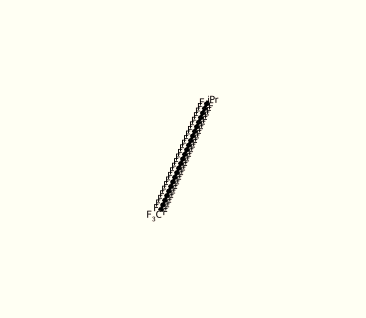 CC(C)C(F)(F)C(F)(F)C(F)(F)C(F)(F)C(F)(F)C(F)(F)C(F)(F)C(F)(F)C(F)(F)C(F)(F)C(F)(F)C(F)(F)C(F)(F)C(F)(F)C(F)(F)C(F)(F)C(F)(F)C(F)(F)C(F)(F)C(F)(F)C(F)(F)C(F)(F)C(F)(F)C(F)(F)C(F)(F)F